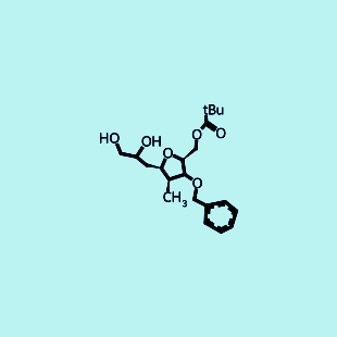 C[C@@H]1C(OCc2ccccc2)[C@H](COC(=O)C(C)(C)C)O[C@@H]1CC(O)CO